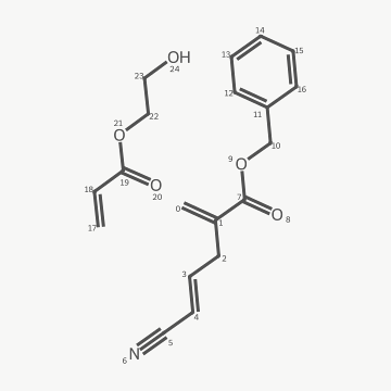 C=C(CC=CC#N)C(=O)OCc1ccccc1.C=CC(=O)OCCO